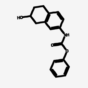 O=C(Nc1ccc2c(c1)CC(O)CC2)Oc1ccccc1